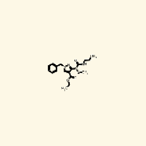 CCCNC(=O)N(SC)c1nn(Cc2ccccc2)cc1C(=O)OCC